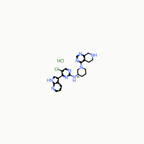 Cl.Clc1cnc(N[C@@H]2CCCN(c3ncnc4c3CCNC4)C2)nc1-c1c[nH]c2ncccc12